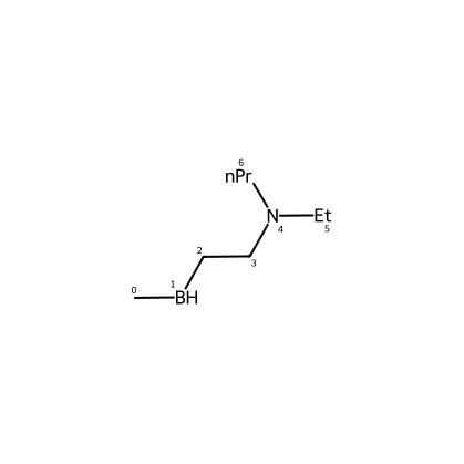 CBCCN(CC)CCC